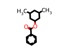 CC1CC(C)CC(OC(=O)c2ccccc2)C1